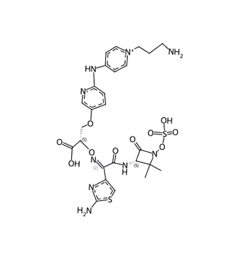 CC1(C)[C@H](NC(=O)/C(=N\O[C@@H](COc2ccc(Nc3cc[n+](CCCN)cc3)nc2)C(=O)O)c2csc(N)n2)C(=O)N1OS(=O)(=O)O